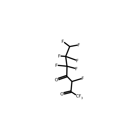 O=C(C(F)C(=O)C(F)(F)C(F)(F)C(F)F)C(F)(F)F